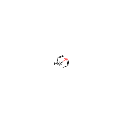 C=CC.C=COC(C)=O.O=C(O)O